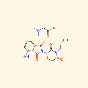 CN(C)CC(=O)O.CNc1cccc2c1C(=O)N(C1CCC(=O)N(CCO)C1=O)C2=O